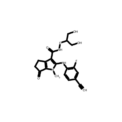 C#Cc1ccc(Nc2c(C(=O)NOC(CO)CO)c3c(n2C)C(=O)CC3)c(F)c1